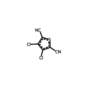 N#Cc1sc(C#N)c(Cl)c1Cl